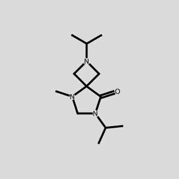 CC(C)N1CC2(C1)C(=O)N(C(C)C)CN2C